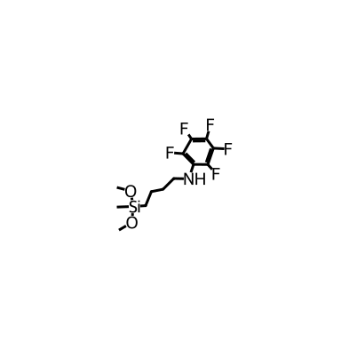 CO[Si](C)(CCCCNc1c(F)c(F)c(F)c(F)c1F)OC